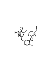 Cc1ccc(Cc2cc(C)c(=O)[nH]n2)cc1Oc1cccc(CI)n1